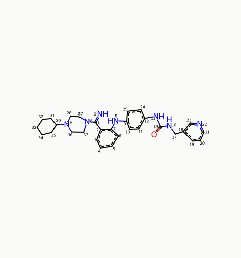 N=C(c1ccccc1Nc1ccc(NC(=O)NCc2cccnc2)cc1)N1CCN(C2CCCCC2)CC1